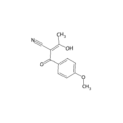 COc1ccc(C(=O)C(C#N)=C(C)O)cc1